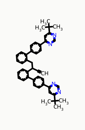 C#CC(Cc1ccccc1-c1ccc(-c2cc(C(C)(C)C)ncn2)cc1)c1ccccc1-c1ccc(-c2cc(C(C)(C)C)ncn2)cc1